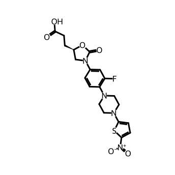 O=C(O)CC[C@@H]1CN(c2ccc(N3CCN(c4ccc([N+](=O)[O-])s4)CC3)c(F)c2)C(=O)O1